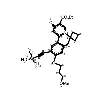 CCOC(=O)c1cn2c(cc1=O)-c1cc(C#C[Si](C)(C)C)c(OCCCOC)cc1CC21CCC1